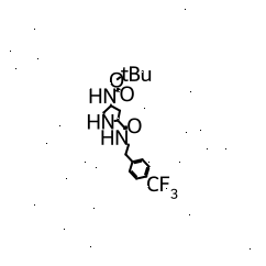 CC(C)(C)OC(=O)N[C@H]1CNC(C(=O)NCCc2ccc(C(F)(F)F)cc2)C1